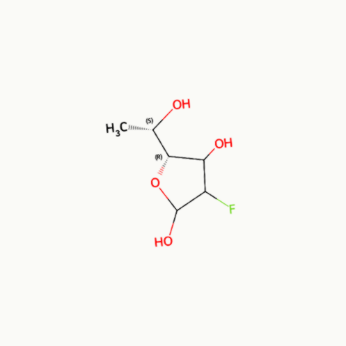 C[C@H](O)[C@H]1OC(O)C(F)C1O